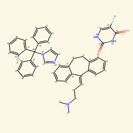 CN(C)CCC=C1c2ccccc2CCc2ccccc21.Clc1ccccc1C(c1ccccc1)(c1ccccc1)n1ccnc1.O=c1[nH]cc(F)c(=O)[nH]1